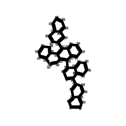 c1ccc2cc(-c3ccc(-c4c5ccccc5c(-c5ccc6ccccc6c5)c5c4cnc4ccccc45)c4ccccc34)ccc2c1